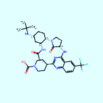 CC(=O)N[C@@H]1C[C@H](NC(C)(C)C)CC[C@@H]1N1CC[C@H](Nc2nc(C3CCN(C(=O)O)CC3)nc3ccc(C(F)(F)F)cc23)C1=O